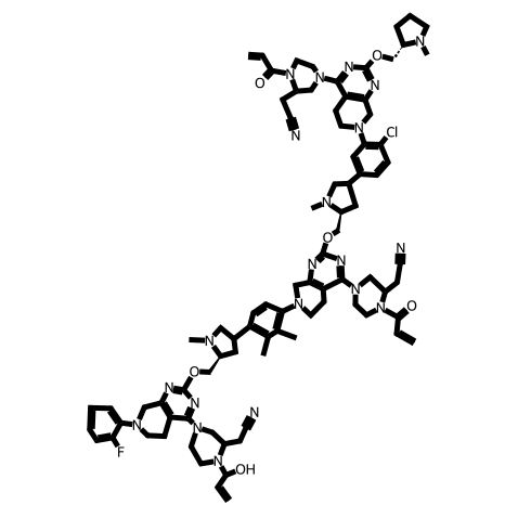 C=CC(=O)N1CCN(c2nc(OC[C@@H]3CCCN3C)nc3c2CCN(c2cc(C4C[C@@H](COc5nc6c(c(N7CCN(C(=O)C=C)C(CC#N)C7)n5)CCN(c5ccc(C7C[C@@H](COc8nc9c(c(N%10CCN(C(O)C=C)C(CC#N)C%10)n8)CCN(c8ccccc8F)C9)N(C)C7)c(C)c5C)C6)N(C)C4)ccc2Cl)C3)CC1CC#N